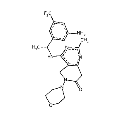 Cc1nc2c(c(N[C@H](C)c3cc(N)cc(C(F)(F)F)c3)n1)CN(N1CCOCC1)C(=O)C2